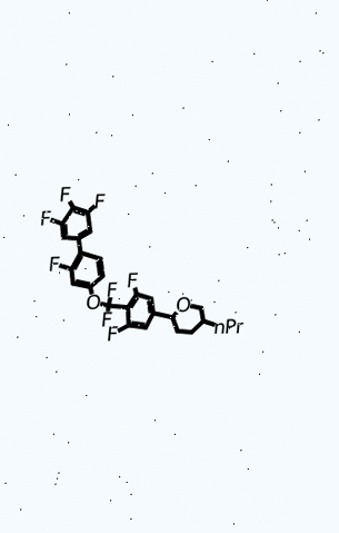 CCCC1CCC(c2cc(F)c(C(F)(F)Oc3ccc(-c4cc(F)c(F)c(F)c4)c(F)c3)c(F)c2)OC1